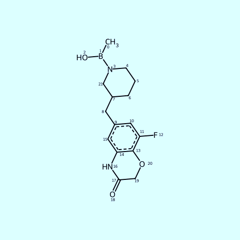 CB(O)N1CCCC(Cc2cc(F)c3c(c2)NC(=O)CO3)C1